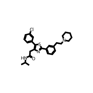 CC(C)NC(=O)Cc1nc(-c2cccc(CCN3CCCCC3)c2)sc1-c1cccc(Cl)c1